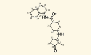 CC1=C(NC2CCC(C(=O)Nc3cccc4ccccc34)CC2)CCC1=O